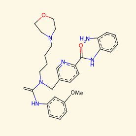 C=C(Nc1cccc(OC)c1)N(CCCCN1CCOCC1)Cc1ccc(C(=O)Nc2ccccc2N)nc1